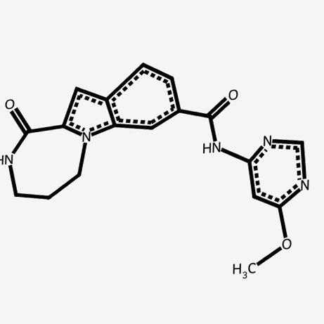 COc1cc(NC(=O)c2ccc3cc4n(c3c2)CCCNC4=O)ncn1